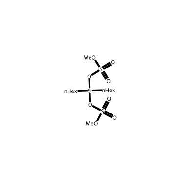 CCCCCC[Si](CCCCCC)(OS(=O)(=O)OC)OS(=O)(=O)OC